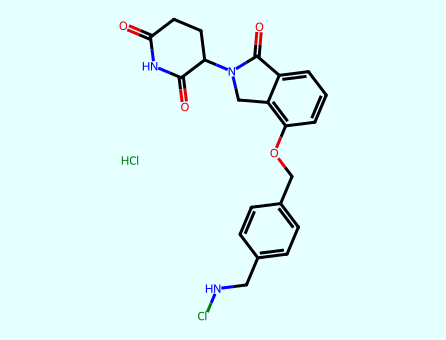 Cl.O=C1CCC(N2Cc3c(OCc4ccc(CNCl)cc4)cccc3C2=O)C(=O)N1